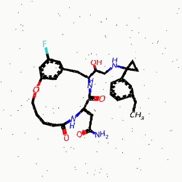 CCc1cccc(C2(NCC(O)C3Cc4cc(F)cc(c4)OCCCCC(=O)NC(CC(N)=O)C(=O)N3)CC2)c1